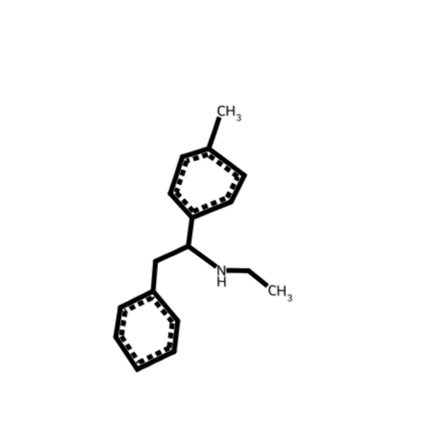 CCNC(Cc1ccccc1)c1ccc(C)cc1